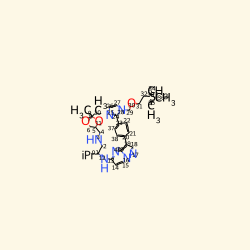 CC(C)C(CNCC1COC(C)(C)O1)Nc1ccn2ncc(-c3ccc(-c4nccn4COCC[Si](C)(C)C)cc3)c2n1